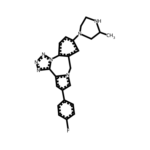 CC1CN(c2ccc3c(c2)Cn2cc(-c4ccc(F)cc4)cc2-c2nnnn2-3)CCN1